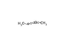 CCCCCc1ccc(C2CCC(C3C=CC(OCC4CCC(CCC)CC4)CC3)CC2)cc1